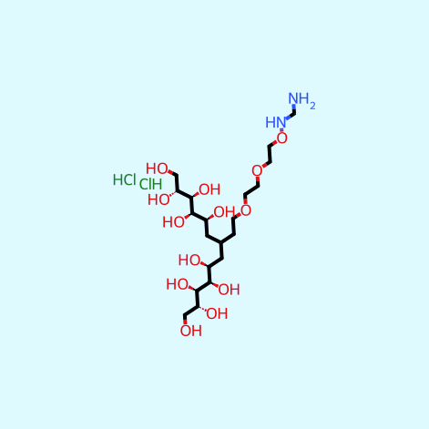 Cl.Cl.NCNOCCOCCOCCC(C[C@H](O)[C@@H](O)[C@H](O)[C@H](O)CO)C[C@H](O)[C@@H](O)[C@H](O)[C@H](O)CO